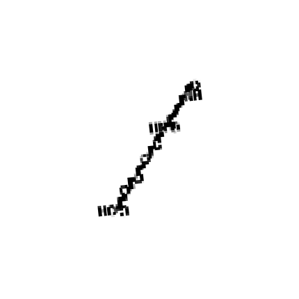 O=CNCCCCCC(=O)NCCOCCOCCOCCOCCC(=O)O